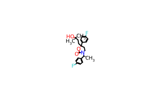 C[C@@H](c1ccc(F)cc1)N1CCC(CCC(C)(C)O)(c2ccc(F)cc2)OC1=O